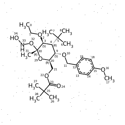 CCO[C@H]1[C@H](C(C)(C)C)[C@H](OCc2ccc(OC)cc2)[C@@H](COC(=O)C(C)(C)C)O[C@]1(C)ONO